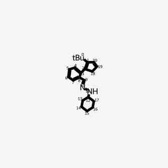 CC(C)(C)C1=C(c2ccccc2/C=N/NC2CCCCC2)CC=C1